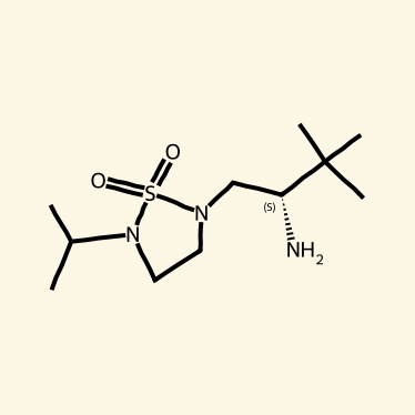 CC(C)N1CCN(C[C@@H](N)C(C)(C)C)S1(=O)=O